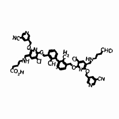 Cc1c(COc2nc(OCc3cncc(C#N)c3)c(CNCCCC=O)cc2Cl)cccc1-c1cccc(COc2nc(OCc3cncc(C#N)c3)c(CNCCCC(=O)O)cc2Cl)c1C